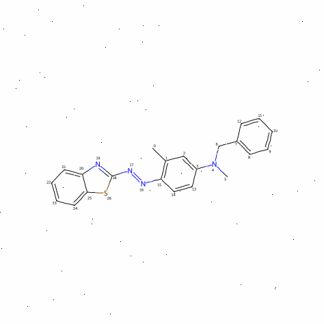 Cc1cc(N(C)Cc2ccccc2)ccc1N=Nc1nc2ccccc2s1